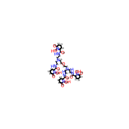 O=C(NCCN(CCNC(=O)c1cccc(=O)n1O)CCOCCN(CCNC(=O)c1cccc(=O)n1O)CCNC(=O)c1cccc(=O)n1O)c1cccc(=O)n1O